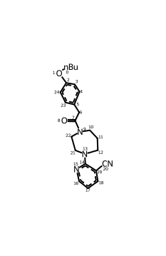 CCCCOc1ccc(CC(=O)N2CCCN(c3ncccc3C#N)CC2)cc1